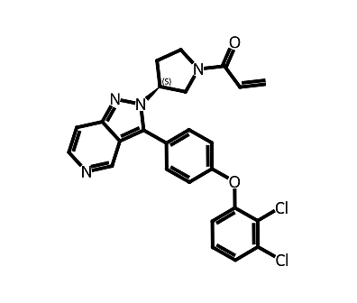 C=CC(=O)N1CC[C@H](n2nc3ccncc3c2-c2ccc(Oc3cccc(Cl)c3Cl)cc2)C1